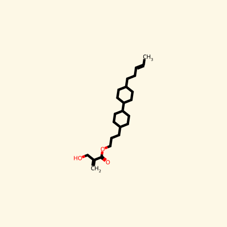 C=C(CO)C(=O)OCCCC1CCC(C2CCC(CC/C=C/C)CC2)CC1